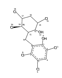 Oc1c(Cl)cc(Cl)c(Cl)c1CC1C(O)C(Cl)CC(Cl)[C@@H]1Cl